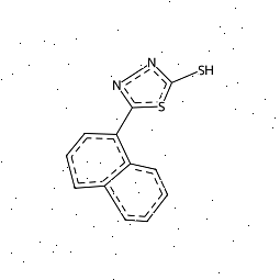 Sc1nnc(-c2cccc3ccccc23)s1